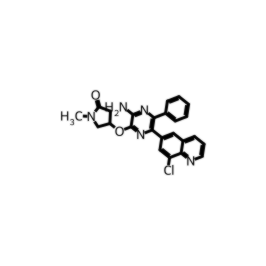 CN1CC(Oc2nc(-c3cc(Cl)c4ncccc4c3)c(-c3ccccc3)nc2N)CC1=O